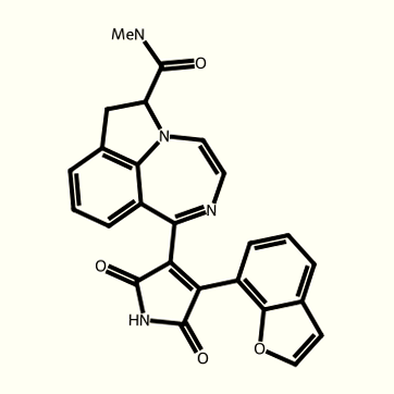 CNC(=O)C1Cc2cccc3c2N1C=CN=C3C1=C(c2cccc3ccoc23)C(=O)NC1=O